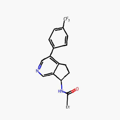 CCC(=O)NC1CCc2c(-c3ccc(C(F)(F)F)cc3)cncc21